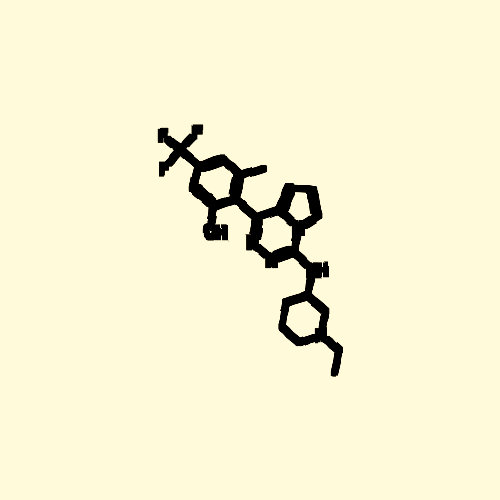 CCN1CCC[C@@H](Nc2nnc(-c3c(C)cc(C(F)(F)F)cc3O)c3cccn23)C1